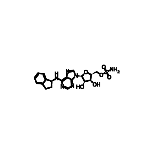 NS(=O)(=O)OC[C@H]1O[C@@H](n2cnc3c(N[C@H]4CCc5ccccc54)ncnc32)[C@@H](O)[C@@H]1O